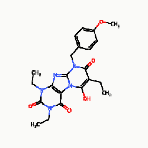 CCc1c(O)n2c3c(=O)n(CC)c(=O)n(CC)c3nc2n(Cc2ccc(OC)cc2)c1=O